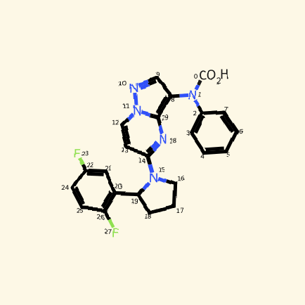 O=C(O)N(c1ccccc1)c1cnn2ccc(N3CCCC3c3cc(F)ccc3F)nc12